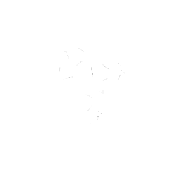 Cc1nc(C(=O)Nc2cc(-c3ccnc4[nH]ccc34)cc3[nH]ncc23)cs1